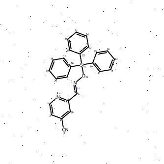 N#Cc1ccnc(/C=N/O[Si](c2ccccc2)(c2ccccc2)c2ccccc2)c1